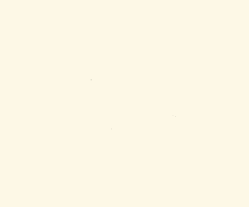 CC1=C(C(C)C)C(C)(C)CCC1=O